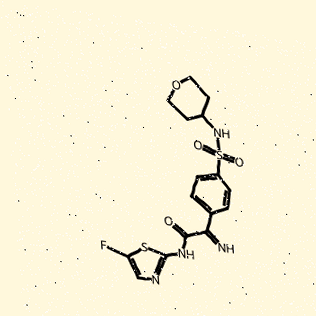 N=C(C(=O)Nc1ncc(F)s1)c1ccc(S(=O)(=O)NC2CCOCC2)cc1